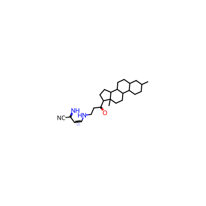 CC1CCC2C(CCC3C2CCC2(C)C(C(=O)CCN/C=C\C(=N)C#N)CCC32)C1